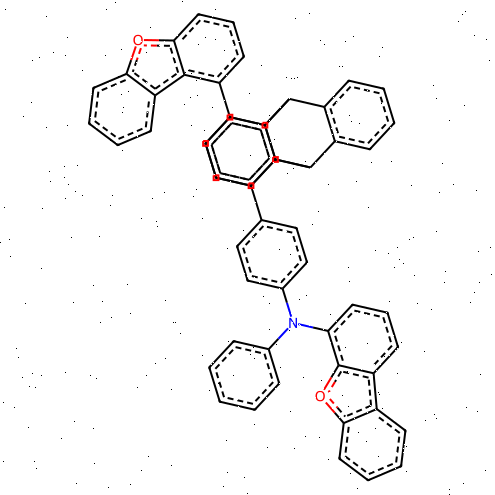 c1ccc(N(c2ccc(-c3ccc(-c4cccc5oc6ccccc6c45)c4c3C3c5ccccc5C4c4ccccc43)cc2)c2cccc3c2oc2ccccc23)cc1